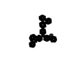 c1ccc2c(c1)oc1cc(N(c3ccc(-c4ccc5c6ccccc6c6ccccc6c5c4)cc3)c3ccc4c(c3)c3cccc5c6ccccc6n4c53)ccc12